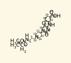 CC(C)(C)OC(=O)NCCCN1CCC(n2cc3c(nc2=O)Nc2cc(C(=O)O)ccc2O3)CC1